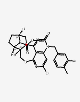 Cc1ccc(Cn2c(=O)nc3c4c(nc(Cl)cc42)OC[C@@H]2[C@@H]4CC[C@H](CN32)N4C(=O)OC(C)(C)C)cc1C